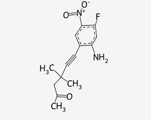 CC(=O)CC(C)(C)C#Cc1cc([N+](=O)[O-])c(F)cc1N